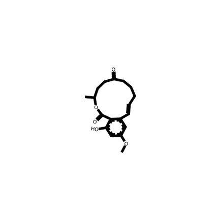 COc1cc(O)c2c(c1)/C=C/CCCC(=O)CCC(C)OC2=O